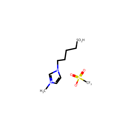 C[n+]1ccn(CCCCS(=O)(=O)O)c1.O=S(=O)([O-])C(F)(F)F